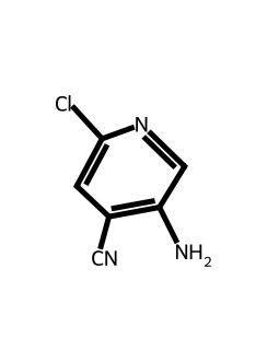 N#Cc1cc(Cl)ncc1N